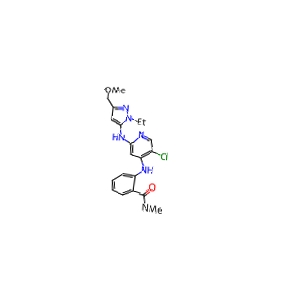 CCn1nc(COC)cc1Nc1cc(Nc2ccccc2C(=O)NC)c(Cl)cn1